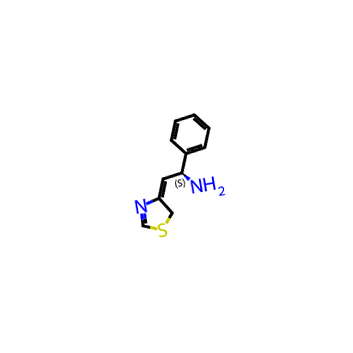 N[C@@H](C=C1CSC=N1)c1ccccc1